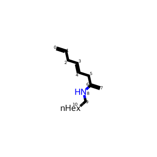 C=CC/C=C/CC(=C)NCCCCCCC